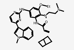 C1CC2CCC12.C=CC(=O)Nc1cc(Nc2nccc(-c3cn(C)c4ccccc34)n2)cc(OCC)c1N(C)CCN(C)C